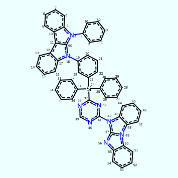 c1ccc(-n2c3ccccc3c3c4ccccc4n(-c4cccc([Si](c5ccccc5)(c5ccccc5)c5ncnc(-n6c7ccccc7n7c8ccccc8nc67)n5)c4)c32)cc1